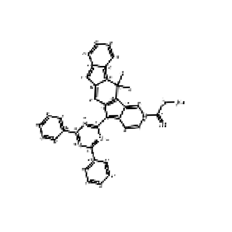 CC(C)(C)OC(=O)n1ccc2c(-c3nc(-c4ccccc4)nc(-c4ccccc4)n3)c3c(c-2c1)C(C)(C)C1=c2ccccc2=CC1=C3